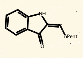 CCCCCC=C1Nc2ccccc2C1=O